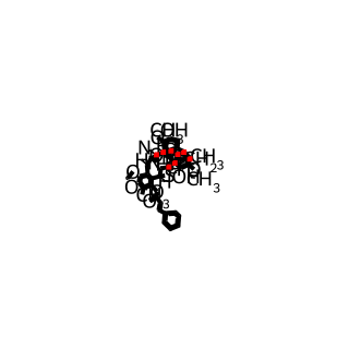 C=CCN1[C@@H]2Cc3cc(C)c(OC)c(O)c3[C@H]1C1[C@@H]3SC[C@]4(NCCc5cc(O)c(OC)cc54)C(=O)OC[C@@H](c4c5c(c(C)c(OC(=O)/C=C/c6ccccc6)c43)OCO5)N1[C@H]2C#N